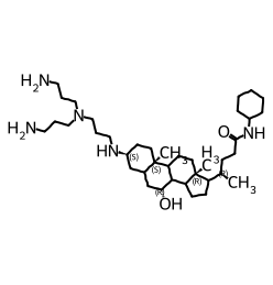 C[C@H](CCC(=O)NC1CCCCC1)C1CCC2C3C(CC[C@@]21C)[C@@]1(C)CC[C@H](NCCCN(CCCN)CCCN)CC1C[C@H]3O